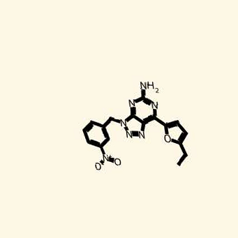 CCc1ccc(-c2nc(N)nc3c2nnn3Cc2cccc([N+](=O)[O-])c2)o1